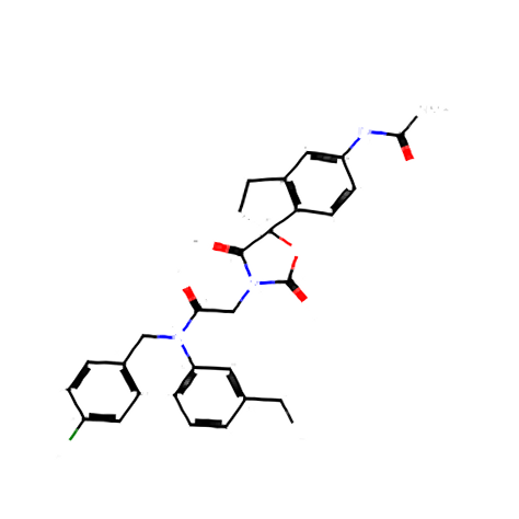 CNC(=O)Nc1ccc2c(c1)CC[C@@]21OC(=O)N(CC(=O)N(Cc2ccc(F)cc2)c2cccc(CC(=O)O)c2)C1=O